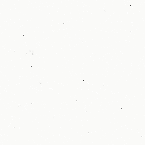 CC1=CC(c2ccccc2)CC(C2C=CCCC2)=N1